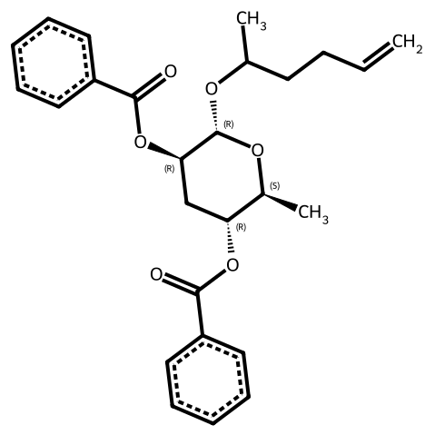 C=CCCC(C)O[C@@H]1O[C@@H](C)[C@H](OC(=O)c2ccccc2)C[C@H]1OC(=O)c1ccccc1